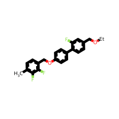 CCOCc1ccc(-c2ccc(OCc3ccc(C)c(F)c3F)cc2)c(F)c1